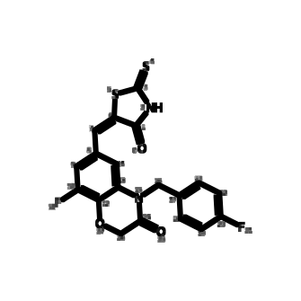 O=C1NC(=S)SC1=Cc1cc(F)c2c(c1)N(Cc1ccc(F)cc1)C(=O)CO2